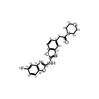 O=C(Cc1ccc2oc(Nc3nc4cc(F)ccc4o3)nc2c1)N1CCOCC1